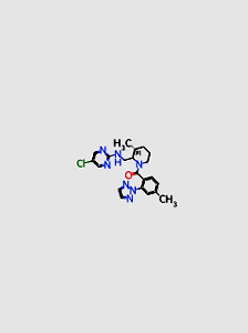 Cc1ccc(C(=O)N2CCC[C@@H](C)C2CNc2ncc(Cl)cn2)c(-n2nccn2)c1